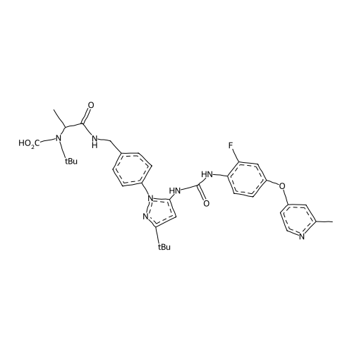 Cc1cc(Oc2ccc(NC(=O)Nc3cc(C(C)(C)C)nn3-c3ccc(CNC(=O)C(C)N(C(=O)O)C(C)(C)C)cc3)c(F)c2)ccn1